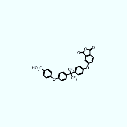 O=C(O)c1ccc(Oc2ccc(C(c3ccc(Oc4ccc5c(c4)C(=O)OC5=O)cc3)(C(F)(F)F)C(F)(F)F)cc2)cc1